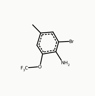 Cc1cc(Br)c(N)c(OC(F)(F)F)c1